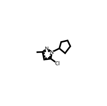 Cc1cc(Cl)n(C2CCCC2)n1